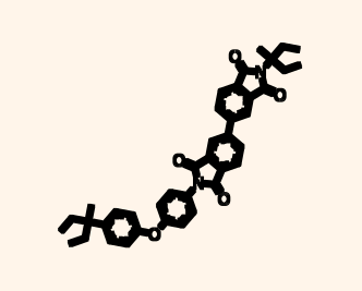 CCC(C)(CC)c1ccc(Oc2ccc(N3C(=O)c4ccc(-c5ccc6c(c5)C(=O)N(C(C)(CC)CC)C6=O)cc4C3=O)cc2)cc1